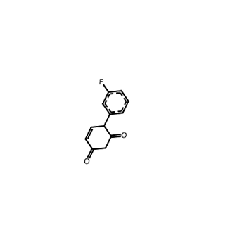 O=C1C=CC(c2cccc(F)c2)C(=O)C1